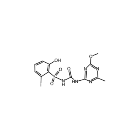 COc1nc(C)nc(NC(=O)NS(=O)(=O)c2c(O)cccc2I)n1